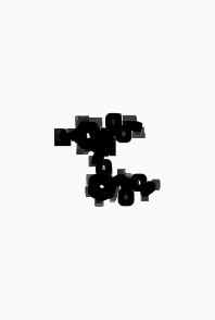 CCOC(=O)Cc1ccccc1OCc1nn(C(=O)OCC)c2ccc(Br)cc12